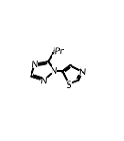 CC(C)c1ncnn1-c1cncs1